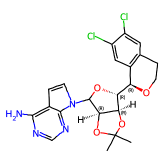 CC1(C)O[C@@H]2[C@@H]([C@@H]3OCCc4cc(Cl)c(Cl)cc43)OC(n3ccc4c(N)ncnc43)[C@@H]2O1